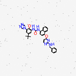 COc1c(NC(=O)Nc2ccc(Oc3ccnc(NCc4ccccc4)n3)c3ccccc23)cc(C(C)(C)C)cc1-n1cnnc1